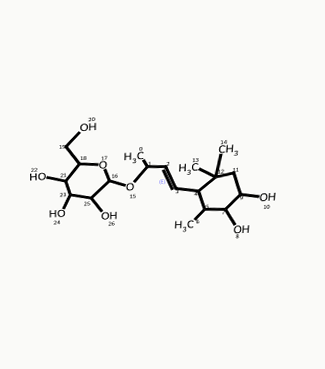 CC(/C=C/C1C(C)C(O)C(O)CC1(C)C)OC1OC(CO)C(O)C(O)C1O